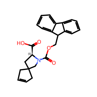 O=C(O)[C@@H]1CC2(CC=CC2)CN1C(=O)OCC1c2ccccc2-c2ccccc21